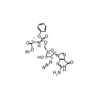 CC(C)OC(=O)[C@H](C)N[P@@](=O)(OC[C@H]1O[C@@H](n2cnc3c(=O)[nH]c(N)nc32)[C@H](N=[N+]=[N-])[C@@H]1O)Oc1ccccc1